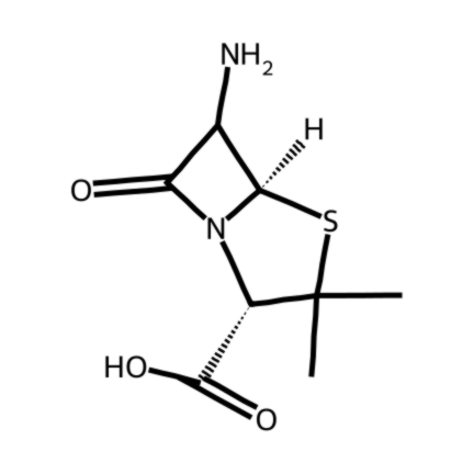 CC1(C)S[C@@H]2C(N)C(=O)N2[C@H]1C(=O)O